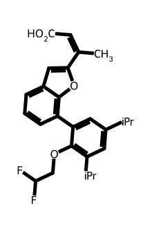 C/C(=C/C(=O)O)c1cc2cccc(-c3cc(C(C)C)cc(C(C)C)c3OCC(F)F)c2o1